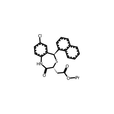 CC(C)OC(=O)C[C@H]1S[C@H](c2cccc3ccccc23)c2cc(Cl)ccc2NC1=O